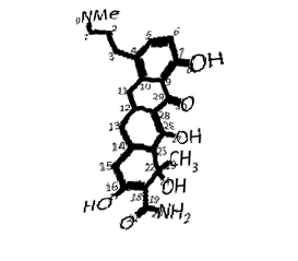 CNCCCc1ccc(O)c2c1CC1CC3CC(O)=C(C(N)=O)C(C)(O)C3C(O)=C1C2=O